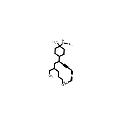 CC=C=CC#CC(CC(CC)CCCCl)C1CCC(C)(NC)CC1